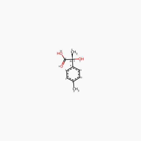 Cc1ccc([C@@](C)(O)C(=O)O)cc1